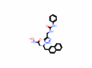 O=C(C[C@@H](Cc1ccc2ccccc2c1)n1cc(CNC(=O)Nc2ccccc2)nn1)NO